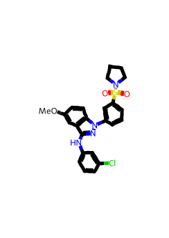 COc1ccc2c(c1)c(Nc1cccc(Cl)c1)nn2-c1cccc(S(=O)(=O)N2CCCC2)c1